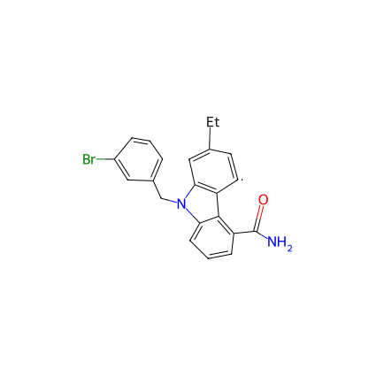 CCc1c[c]c2c3c(C(N)=O)cccc3n(Cc3cccc(Br)c3)c2c1